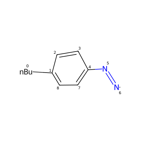 CCCCc1ccc(N=[N])cc1